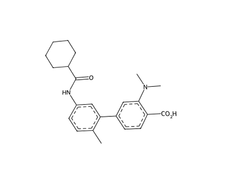 Cc1ccc(NC(=O)C2CCCCC2)cc1-c1ccc(C(=O)O)c(N(C)C)c1